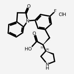 Cl.O=C(O)[C@@H](Cc1cc(F)cc(N2C(=O)Cc3ccccc32)c1)[C@H]1CCNC1